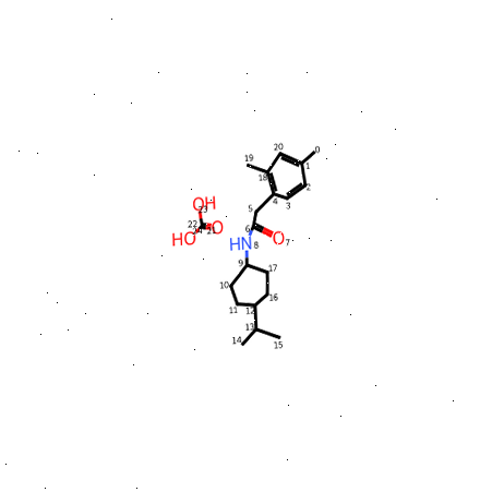 Cc1ccc(CC(=O)NC2CCC(C(C)C)CC2)c(C)c1.O=C(O)O